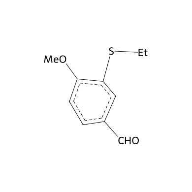 CCSc1cc(C=O)ccc1OC